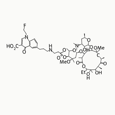 CC[C@H]1OC(=O)C(C)[C@@H](O[C@H]2C[C@@](C)(OC)[C@@H](OS(=O)(=O)CCNCCCc3ccc4c(c3)c(=O)c(C(=O)O)cn4CCF)C(C)O2)[C@H](C)[C@@H](O[C@@H]2O[C@H](C)C[C@H](N(C)C)C2O)C(C)(OC)C[C@@H](C)C(=O)[C@@H](C)[C@@H](O)C1(C)O